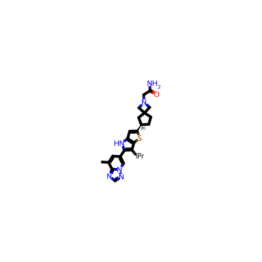 Cc1cc(-c2[nH]c3cc([C@@H]4CCC5(C4)CN(CC(N)=O)C5)sc3c2C(C)C)cn2ncnc12